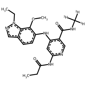 [2H]C([2H])([2H])NC(=O)c1cnc(NC(=O)CC)cc1Nc1ccc2cnn(CC)c2c1OC